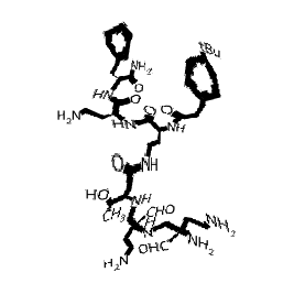 C[C@@H](O)[C@H](NC[C@@](C=O)(CCN)NC[C@](N)(C=O)CCN)C(=O)NCC[C@H](NC(=O)Cc1ccc(C(C)(C)C)cc1)C(=O)N[C@@H](CCN)C(=O)N[C@H](Cc1ccccc1)C(N)=O